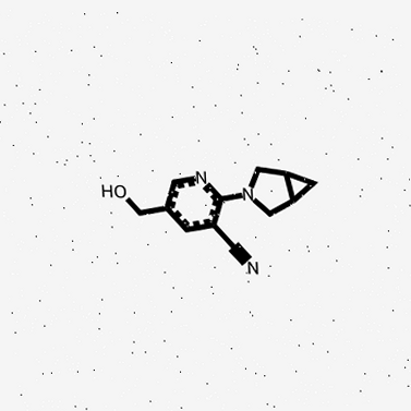 N#Cc1cc(CO)cnc1N1CC2CC2C1